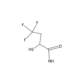 [NH]C(=O)C(S)CC(F)(F)F